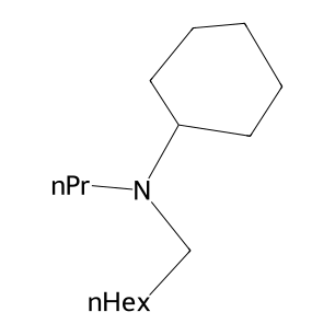 CCCCCCCN(CCC)C1CCCCC1